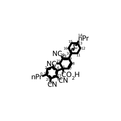 CCCc1ccc(C2(C(=O)O)C=CC(C34CCC(CCC)(CC3)CC4)=C(C#N)C2C#N)c(C#N)c1C#N